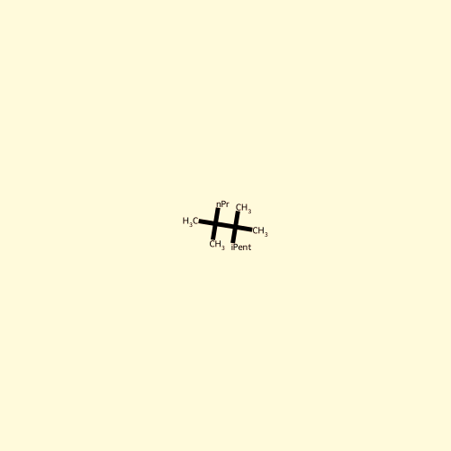 C[CH]CC(C)(C)C(C)(C)C(C)CCC